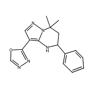 CC1(C)CC(c2ccccc2)Nc2c(-c3nnco3)cnn21